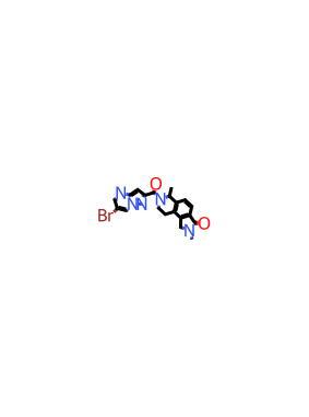 CC1c2ccc3c(c2CCN1C(=O)c1cc2ncc(Br)cn2n1)CN(C)C3=O